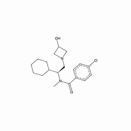 CN(C(=O)c1ccc(Cl)cc1)[C@H](CN1CC(O)C1)C1CCCCC1